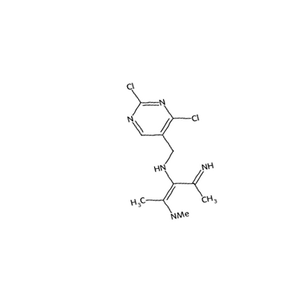 CN/C(C)=C(/NCc1cnc(Cl)nc1Cl)C(C)=N